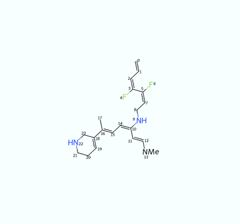 C=C/C=C(F)\C(F)=C/CNC(/C=C/NC)=C/C=C(\C)C1=CCCNC1